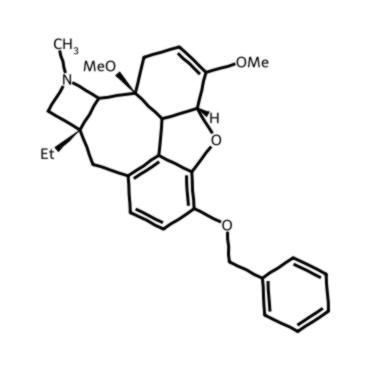 CC[C@]12Cc3ccc(OCc4ccccc4)c4c3C3[C@@H](O4)C(OC)=CC[C@@]3(OC)C1N(C)C2